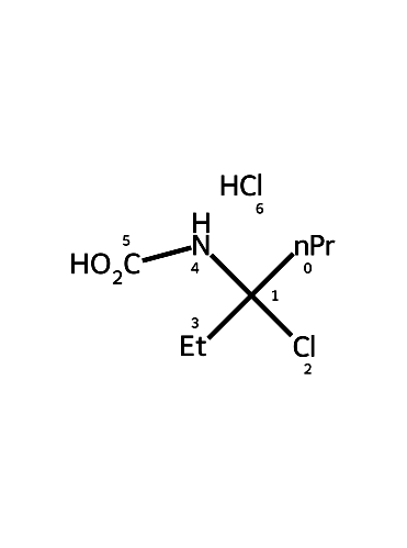 CCCC(Cl)(CC)NC(=O)O.Cl